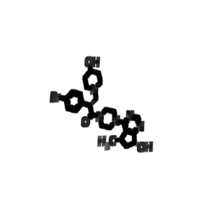 C[C@@H]1C[C@@H](O)c2ncnc(N3CCN(C(=O)[C@H](CN4CCC(O)CC4)c4ccc(Br)cc4)CC3)c21